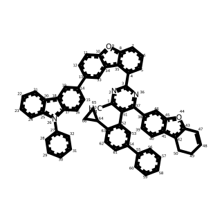 Cc1nc(-c2cccc3oc4ccc(-c5ccc6c(c5)c5ccccc5n6-c5ccccc5)cc4c23)nc(-c2ccc3c4c(oc3c2)C=CCC4)c1-c1cc(-c2ccccc2)ccc1C1CC1